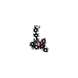 N#Cc1ccc(-c2ccc(-c3nc(-c4ccccc4)nc(-c4cccc5oc6ccc(-c7nc(-c8ccccc8)nc(-c8ccccc8)n7)cc6c45)n3)cc2)cc1